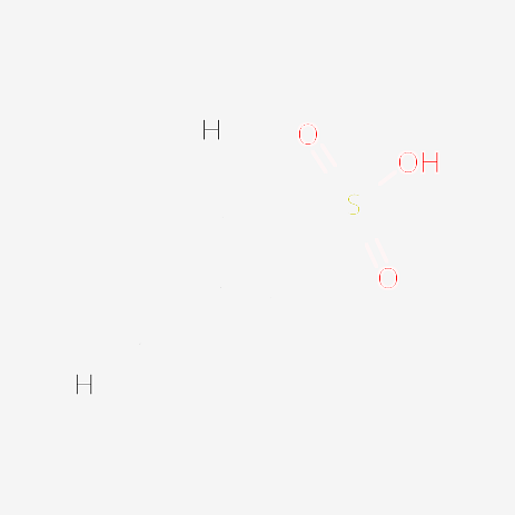 CC1(C)[C@H]2CC=C(S(=O)(=O)O)[C@@H]1C2